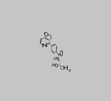 CC(O)CNC(=O)c1ccc(-c2nccc3occc23)cc1